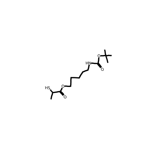 CC(S)C(=O)OCCCCCNC(=O)OC(C)(C)C